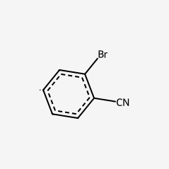 N#Cc1cc[c]cc1Br